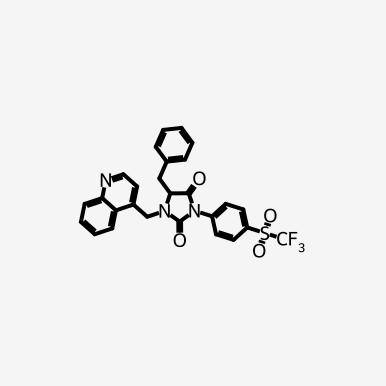 O=C1C(Cc2ccccc2)N(Cc2ccnc3ccccc23)C(=O)N1c1ccc(S(=O)(=O)C(F)(F)F)cc1